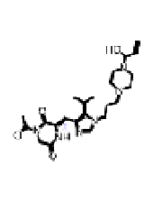 C=CC(O)N1CCN(CCCn2cnc(/C=C3\NC(=O)CN(C(C)=O)C3=O)c2C(C)C)CC1